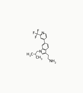 CC(C)Cn1cc(CCN)c2ccc(-c3ccnc(C(F)(F)F)c3)cc21